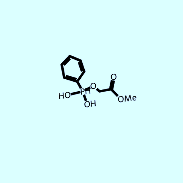 COC(=O)CO[PH](O)(O)c1ccccc1